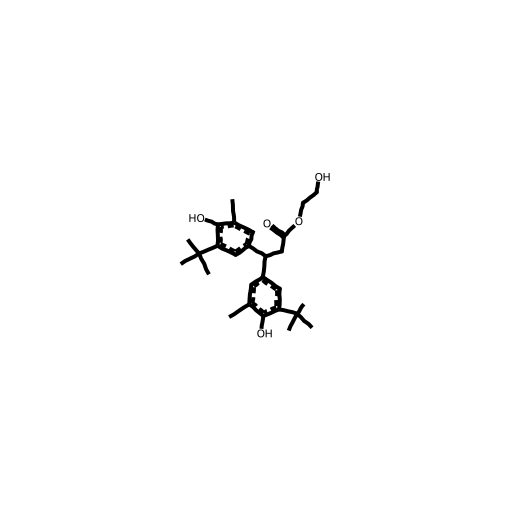 Cc1cc(C(CC(=O)OCCO)c2cc(C)c(O)c(C(C)(C)C)c2)cc(C(C)(C)C)c1O